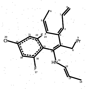 C=C/C=C(\C=C/C)C(/CC(C)C)=C(/N/C=C/C)c1c(F)cc(Cl)cc1F